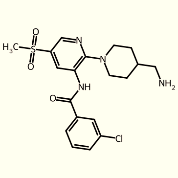 CS(=O)(=O)c1cnc(N2CCC(CN)CC2)c(NC(=O)c2cccc(Cl)c2)c1